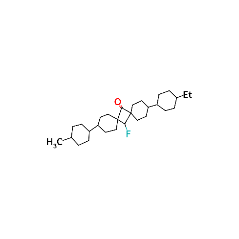 CCC1CCC(C2CCC3(CC2)C(=O)C2(CCC(C4CCC(C)CC4)CC2)C3F)CC1